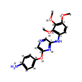 COc1ccc(Nc2cncc(Oc3ccc(N)cc3)n2)c(OC)c1OC